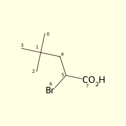 CC(C)(C)CC(Br)C(=O)O